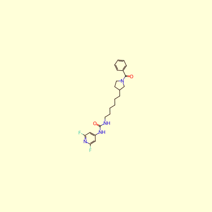 O=C(NCCCCCCC1CCN(C(=O)c2ccccc2)C1)Nc1cc(F)nc(F)c1